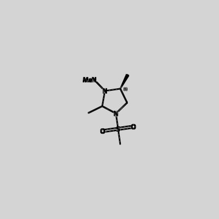 CNN1C(C)N(S(C)(=O)=O)C[C@@H]1C